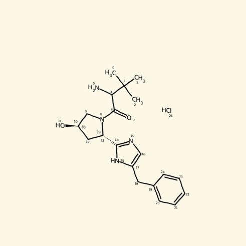 CC(C)(C)C(N)C(=O)N1C[C@H](O)C[C@H]1c1ncc(Cc2ccccc2)[nH]1.Cl